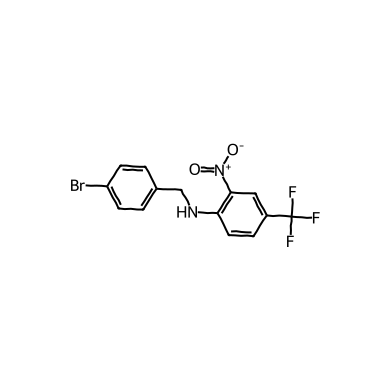 O=[N+]([O-])c1cc(C(F)(F)F)ccc1NCc1ccc(Br)cc1